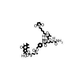 CC1=C2C(=CC(C)(CO)C2OC(=O)N(C)CCN(C)C(=O)OCc2ccc(NC(=O)[C@H](CCCNC(N)=O)NC(=O)[C@@H](NC(=O)CCCCCN3C(=O)C=CC3=O)C(C)C)cc2)C(=O)[C@@H](C)C12CC2